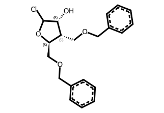 O[C@H]1C(Cl)O[C@H](COCc2ccccc2)[C@H]1COCc1ccccc1